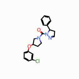 O=C(N1CCC(Oc2cccc(Cl)c2)C1)N1N=CCC1c1ccccc1